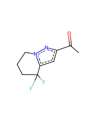 CC(=O)c1cc2n(n1)CCCC2(F)F